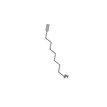 C#CCCCCCCCC(C)C